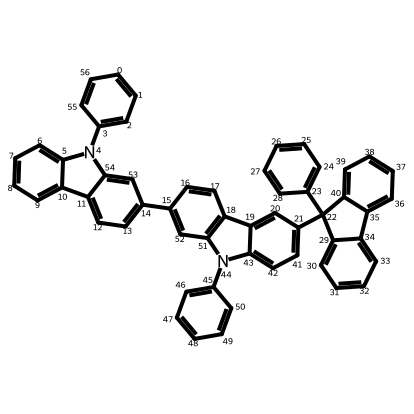 c1ccc(-n2c3ccccc3c3ccc(-c4ccc5c6cc(C7(c8ccccc8)c8ccccc8-c8ccccc87)ccc6n(-c6ccccc6)c5c4)cc32)cc1